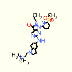 C=CCn1c(=O)c2cnc(Nc3ccc4c(ccn4CCN(C)C)c3)nc2n1-c1cccc(S(C)(=O)=O)n1